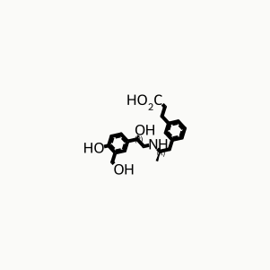 C[C@H](Cc1cccc(CCC(=O)O)c1)NC[C@H](O)c1ccc(O)c(CO)c1